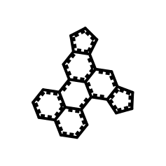 c1cc2cc3c4cccc5cccc(c54)c4c5cccc5cc(c2c1)c34